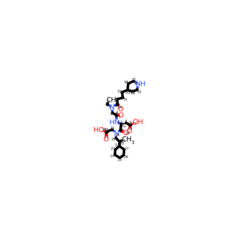 CCN(CC(=O)N[C@@H](CC(=O)O)C(=O)N(CC(=O)O)CC(C)C1CCCCC1)C(=O)CCCC1CCNCC1